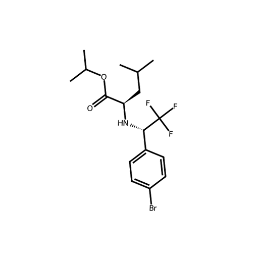 CC(C)C[C@@H](N[C@@H](c1ccc(Br)cc1)C(F)(F)F)C(=O)OC(C)C